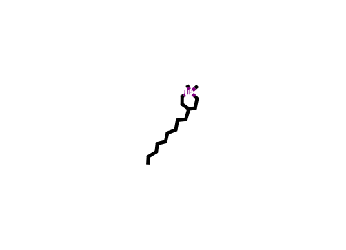 CCCCCCCCCC1CC[PH](C)(C)CC1